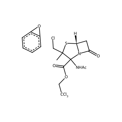 CC(=O)NC1(C(=O)OCC(Cl)(Cl)Cl)N2C(=O)C[C@H]2SC1(C)CCl.c1ccc2c(c1)O2